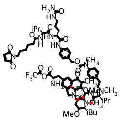 CC[C@H](C)[C@@H]([C@@H](CC(=O)N1CCCC1C(OC)C(C)C(=O)c1cccc(C[C@H](N)C(=O)OC(=O)C(F)(F)F)c1)OC)N(C)C(=O)[C@@H](NC(=O)[C@H](C(C)C)N(C)CCc1ccc(N(C)C(=O)OCc2ccc(NC(=O)[C@H](CCCNC(N)=O)NC(=O)[C@@H](NC(=O)CCCCCN3C(=O)C=CC3=O)C(C)C)cc2)cc1)C(C)C